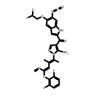 C=N/C(=C\C(C)=C(/C)n1ncc(C(=O)c2cc3cc(OCC(F)F)c(N=C=O)cc3[nH]2)c1N)Oc1c(F)cccc1F